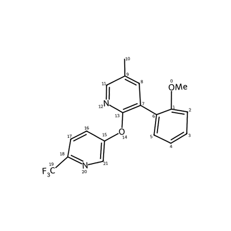 COc1ccccc1-c1cc(C)cnc1Oc1ccc(C(F)(F)F)nc1